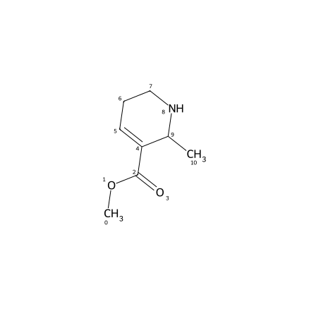 COC(=O)C1=CCCNC1C